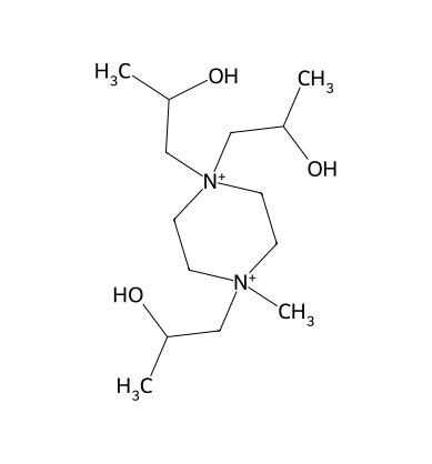 CC(O)C[N+]1(C)CC[N+](CC(C)O)(CC(C)O)CC1